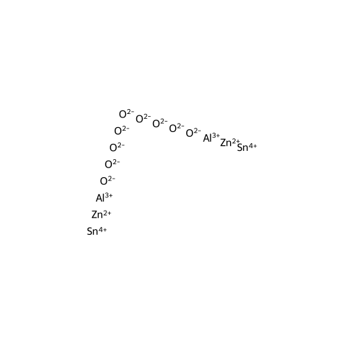 [Al+3].[Al+3].[O-2].[O-2].[O-2].[O-2].[O-2].[O-2].[O-2].[O-2].[O-2].[Sn+4].[Sn+4].[Zn+2].[Zn+2]